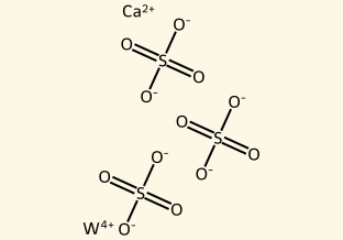 O=S(=O)([O-])[O-].O=S(=O)([O-])[O-].O=S(=O)([O-])[O-].[Ca+2].[W+4]